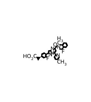 Cc1ccc(-c2cc(C(=O)N3CC(F)c4ccccc4[C@H]3C)nc3cc(-c4ccc([C@H]5C[C@@H]5C(=O)O)cc4F)nn23)nc1